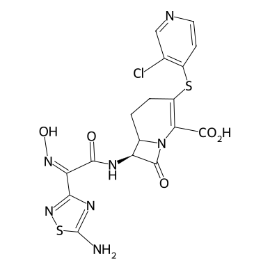 Nc1nc(/C(=N/O)C(=O)N[C@@H]2C(=O)N3C(C(=O)O)=C(Sc4ccncc4Cl)CCC23)ns1